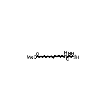 COC(=O)CCCCCCCCCCCCCCCNC(=O)C(N)CCS